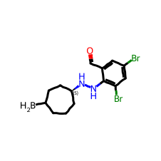 BC1CCC[C@H](NNc2c(Br)cc(Br)cc2C=O)CC1